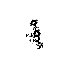 Cc1noc(C(N)Cc2ccc(OCc3ccccc3)cc2)n1.Cl